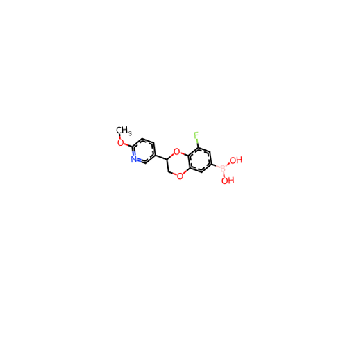 COc1ccc(C2COc3cc(B(O)O)cc(F)c3O2)cn1